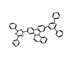 C1=Cc2ccccc2N2B1c1cc(-c3nc(-c4ccccc4)nc(-c4ccccc4)n3)ccc1-c1ccc(-c3cc(-c4ccccc4)cc(-c4ccccc4)c3)cc12